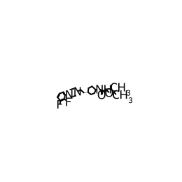 CC(C)OCC(=O)N[C@H]1CC[C@H](CCN2CCN(c3cccc(F)c3F)CC2)CC1